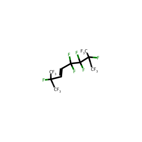 FC(F)(F)C(F)(C=CC(F)(F)C(F)(F)C(F)(C(F)(F)F)C(F)(F)F)C(F)(F)F